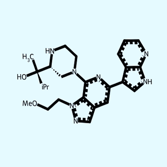 COCCn1ncc2cc(-c3c[nH]c4ncccc34)nc(N3CCN[C@@H]([C@@](C)(O)C(C)C)C3)c21